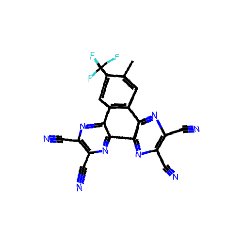 Cc1cc2c(cc1C(F)(F)F)c1nc(C#N)c(C#N)nc1c1nc(C#N)c(C#N)nc21